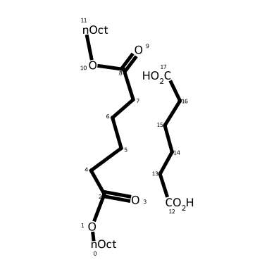 CCCCCCCCOC(=O)CCCCC(=O)OCCCCCCCC.O=C(O)CCCCC(=O)O